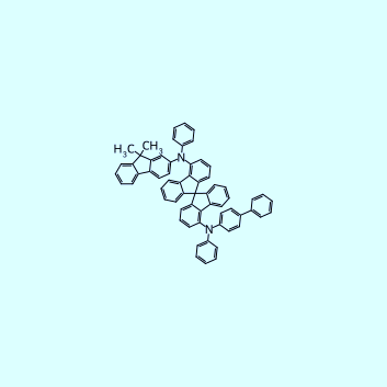 CC1(C)c2ccccc2-c2ccc(N(c3ccccc3)c3cccc4c3-c3ccccc3C43c4ccccc4-c4c(N(c5ccccc5)c5ccc(-c6ccccc6)cc5)cccc43)cc21